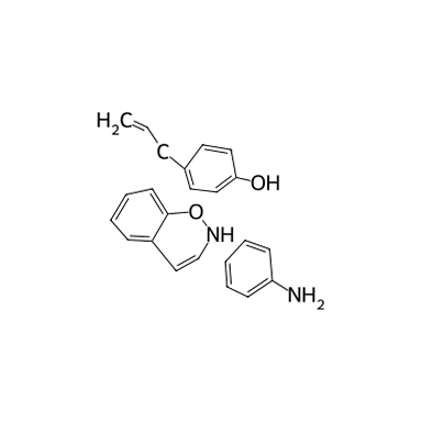 C1=Cc2ccccc2ON1.C=CCc1ccc(O)cc1.Nc1ccccc1